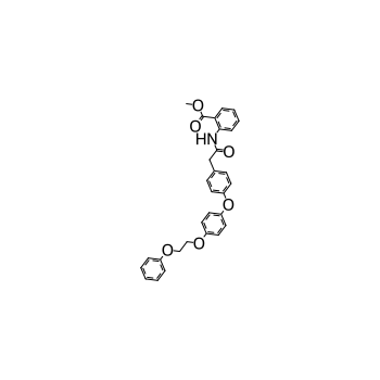 COC(=O)c1ccccc1NC(=O)Cc1ccc(Oc2ccc(OCCOc3ccccc3)cc2)cc1